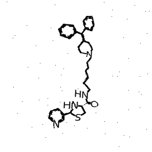 O=C(NCCCCCCCN1CCC(=C(c2ccccc2)c2ccccc2)CC1)[C@@H]1CSC(c2cccnc2)N1